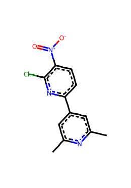 Cc1cc(-c2ccc([N+](=O)[O-])c(Cl)n2)cc(C)n1